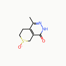 Cc1n[nH]c(=O)c2c1CC[S+]([O-])C2